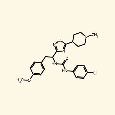 COc1ccc(CC(NC(=O)Nc2ccc(Cl)cc2)c2noc(C3CCN(C)CC3)n2)cc1